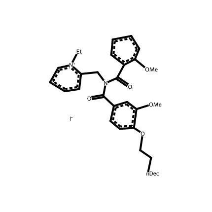 CCCCCCCCCCCCOc1ccc(C(=O)N(Cc2cccc[n+]2CC)C(=O)c2ccccc2OC)cc1OC.[I-]